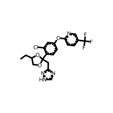 CCC1COC(Cc2nc[nH]n2)(c2ccc(Oc3ccc(C(F)(F)F)cn3)cc2Cl)O1